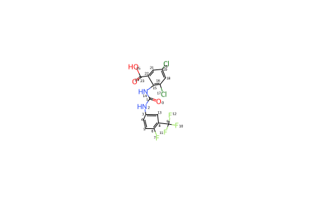 O=C(Nc1ccc(F)c(C(F)(F)F)c1)Nc1c(Cl)cc(Cl)cc1C(=O)O